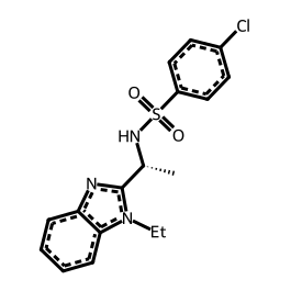 CCn1c([C@@H](C)NS(=O)(=O)c2ccc(Cl)cc2)nc2ccccc21